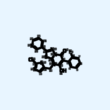 O=c1c(-c2ccccc2F)c(O)[n+](Cc2cnc(Cl)s2)c2sc(-c3cccnc3)nn12